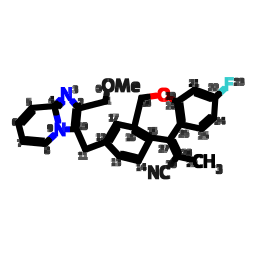 COCc1nc2ccccn2c1Cc1ccc2c(c1)COc1cc(F)ccc1C2=C(C)C#N